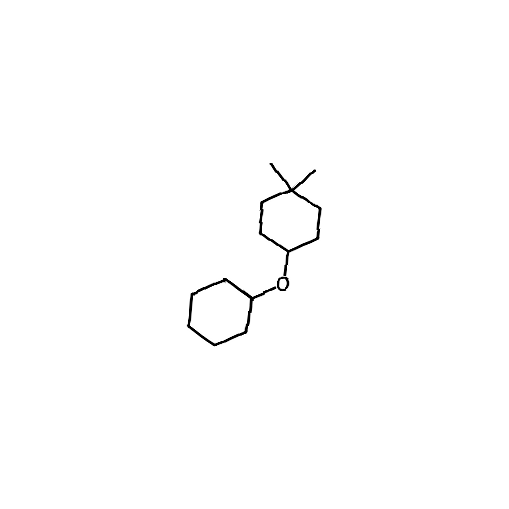 CC1(C)CCC(OC2CCCCC2)CC1